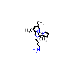 Cc1cnc(CN(CCCCN)C(C)(C)c2ccccn2)c(C)c1